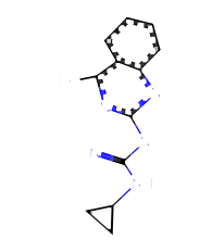 Cc1nc(NC(=N)NC2CC2)nc2ccccc12